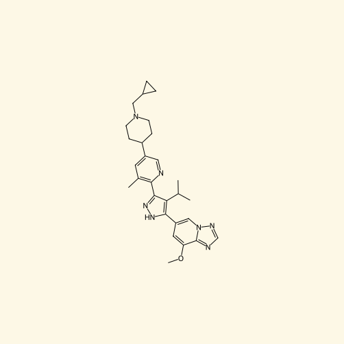 COc1cc(-c2[nH]nc(-c3ncc(C4CCN(CC5CC5)CC4)cc3C)c2C(C)C)cn2ncnc12